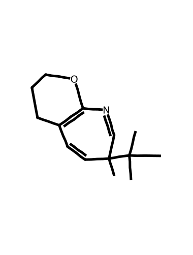 CC(C)(C)C1(C)C=CC2=C(N=C1)OCCC2